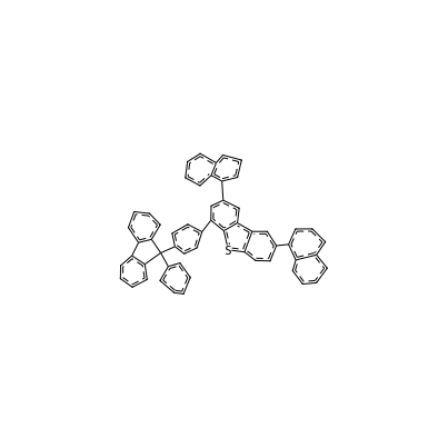 c1ccc(C2(c3ccc(-c4cc(-c5cccc6ccccc56)cc5c4sc4ccc(-c6cccc7ccccc67)cc45)cc3)c3ccccc3-c3ccccc32)cc1